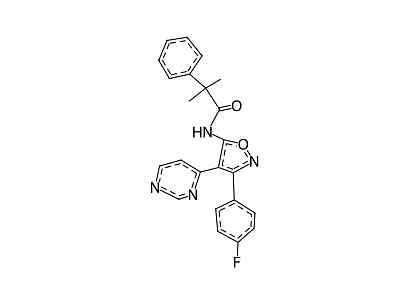 CC(C)(C(=O)Nc1onc(-c2ccc(F)cc2)c1-c1ccncn1)c1ccccc1